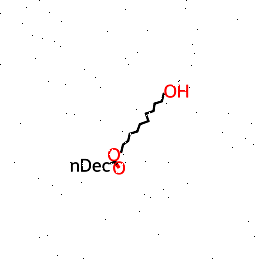 CCCCCCCCCCC(=O)OCCCCCCCCCCCCO